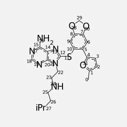 Cc1ccc(-c2cc3c(cc2Sc2nc4c(N)ncnc4n2CCNCCC(C)C)OCO3)o1